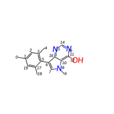 Cc1cc(C)c(-c2cn(C)c3c(O)ncnc23)c(C)c1